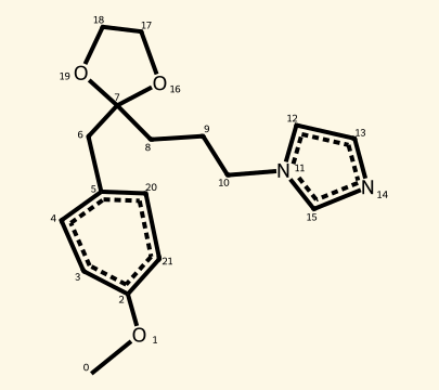 COc1ccc(CC2(CCCn3ccnc3)OCCO2)cc1